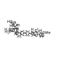 COC(=O)NC(C(=O)N1CCCC1c1ncc(-c2ccc(-c3ccc4c(ccc5nc([C@@H]6C[Si](C)(C)CN6C(=O)C(NC(=O)CO)C(C)C)[nH]c54)c3)cc2)[nH]1)C(C)C